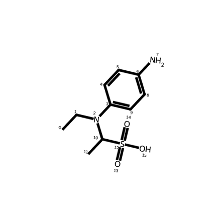 CCN(c1ccc(N)cc1)C(C)S(=O)(=O)O